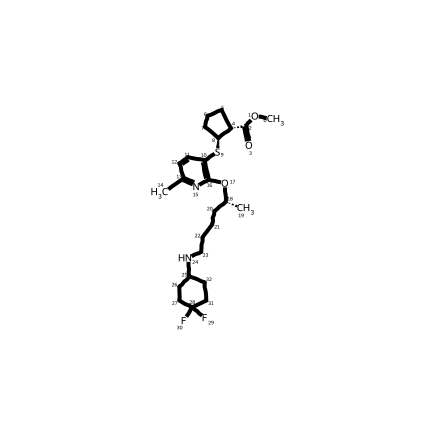 COC(=O)[C@H]1CCC[C@@H]1Sc1ccc(C)nc1O[C@H](C)CCCCNC1CCC(F)(F)CC1